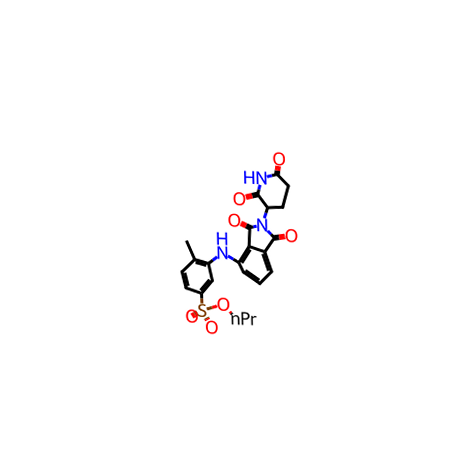 CCCOS(=O)(=O)c1ccc(C)c(Nc2cccc3c2C(=O)N(C2CCC(=O)NC2=O)C3=O)c1